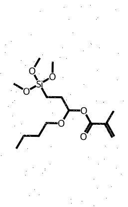 C=C(C)C(=O)OC(CC[Si](OC)(OC)OC)OCCCC